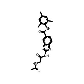 CC(=O)NCC(=O)Nc1nc2ccc(C(=O)Nc3c(C)cc(C)cc3C)cc2s1